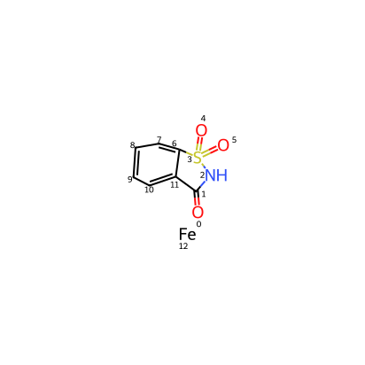 O=C1NS(=O)(=O)c2ccccc21.[Fe]